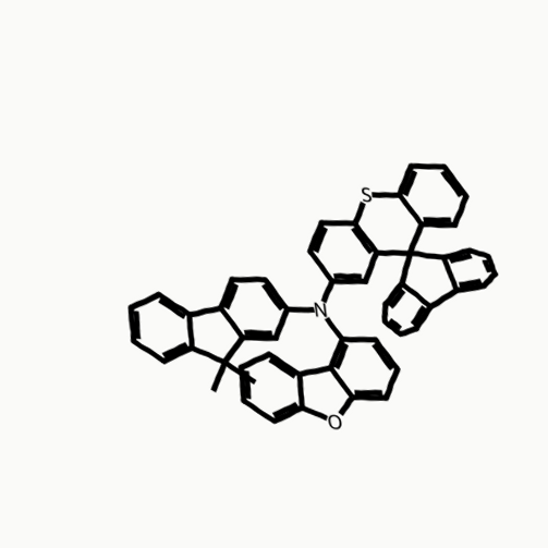 CC1(C)c2ccccc2-c2ccc(N(c3ccc4c(c3)C3(c5ccccc5S4)c4ccccc4-c4ccccc43)c3cccc4oc5ccccc5c34)cc21